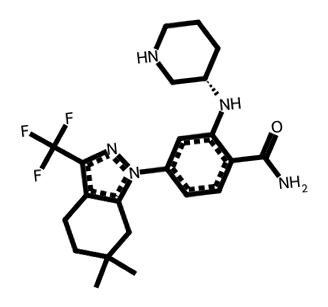 CC1(C)CCc2c(C(F)(F)F)nn(-c3ccc(C(N)=O)c(N[C@H]4CCCNC4)c3)c2C1